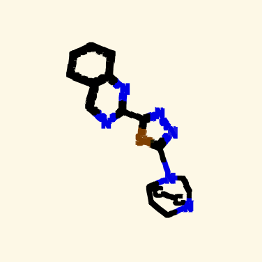 c1ccc2nc(-c3nnc(N4CCN5CCC4CC5)s3)ncc2c1